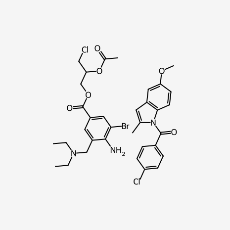 CCN(CC)Cc1cc(C(=O)OCC(CCl)OC(C)=O)cc(Br)c1N.COc1ccc2c(c1)cc(C)n2C(=O)c1ccc(Cl)cc1